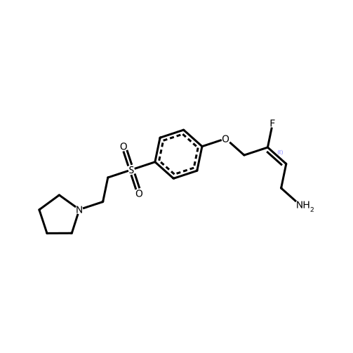 NC/C=C(/F)COc1ccc(S(=O)(=O)CCN2CCCC2)cc1